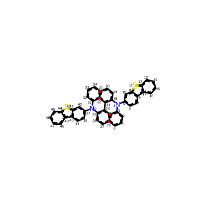 c1ccc(N(c2ccc3c(c2)sc2ccccc23)c2ccccc2-c2ccccc2N(c2ccccc2)c2ccc3c(c2)sc2ccccc23)cc1